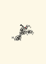 COc1cc(OCC2CC2)c(-c2ncnc3c(C(=O)N[C@H]4CC[C@@H](N(C(=O)O)C(C)(C)C)CC4)c(C)n(COCC[Si](C)(C)C)c23)cc1F